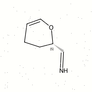 N=C[C@@H]1CCC=CO1